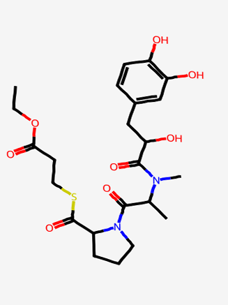 CCOC(=O)CCSC(=O)C1CCCN1C(=O)C(C)N(C)C(=O)C(O)Cc1ccc(O)c(O)c1